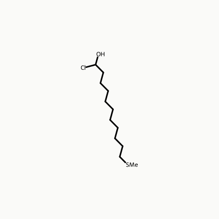 CSCCCCCCCCCCC(O)Cl